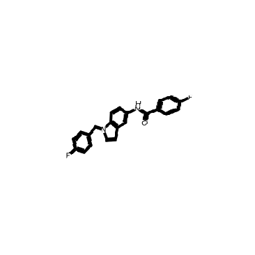 O=C(Nc1ccc2c(c1)CCN2Cc1ccc(F)cc1)c1ccc(F)cc1